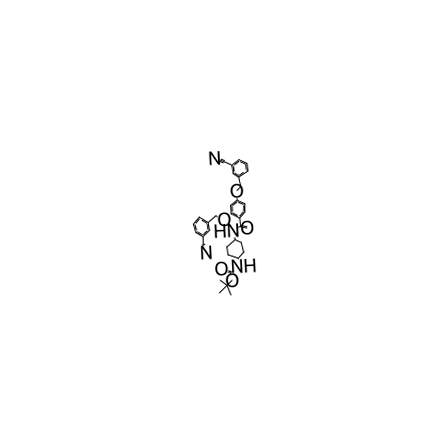 CC(C)(C)OC(=O)NC1CCC(NC(=O)c2ccc(OCc3cccc(C#N)c3)cc2OCc2cccc(C#N)c2)CC1